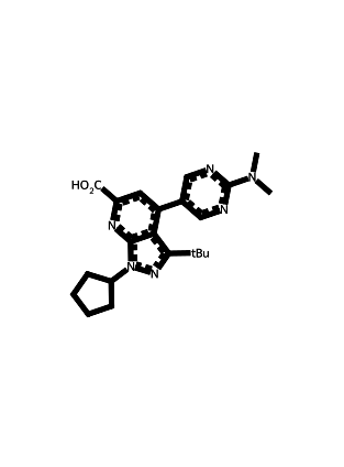 CN(C)c1ncc(-c2cc(C(=O)O)nc3c2c(C(C)(C)C)nn3C2CCCC2)cn1